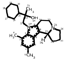 Cc1cc(C)c2c(c1)c1c(n2CC(C)(O)C2CCCCC2)CCN2CCC[C@H]12